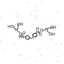 O=C(Nc1ccc(Cc2ccc(NC(=O)OCCN(CCO)CCO)cc2)cc1)OCCN(CCO)CCO